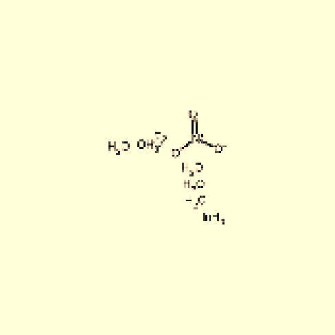 O.O.O.O.O.O.O=[N+]([O-])[O-].[InH3]